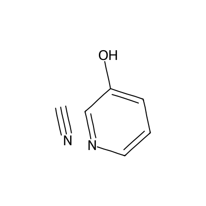 C#N.Oc1cccnc1